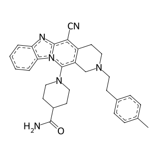 Cc1ccc(CCN2CCc3c(c(N4CCC(C(N)=O)CC4)n4c(nc5ccccc54)c3C#N)C2)cc1